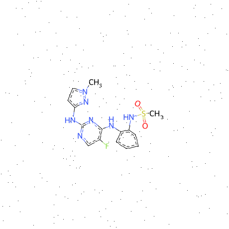 Cn1ccc(Nc2ncc(F)c(Nc3ccccc3NS(C)(=O)=O)n2)n1